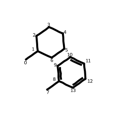 CC1CCCCC1.Cc1ccccc1